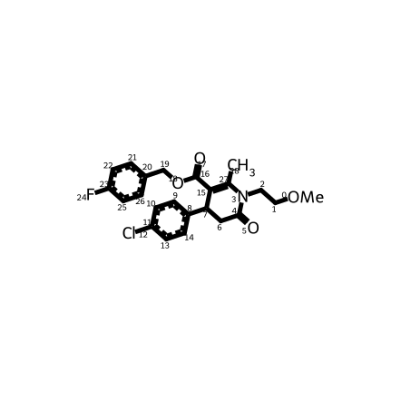 COCCN1C(=O)CC(c2ccc(Cl)cc2)C(C(=O)OCc2ccc(F)cc2)=C1C